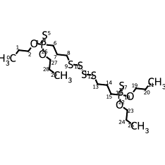 CCCOP(=S)(CCCSSSSCCCP(=S)(OCCC)OCCC)OCCC